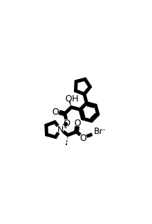 COC(=O)[C@H](C)[N+]1(OC(=O)[C@H](O)c2ccccc2C2CCCC2)CCCC1.[Br-]